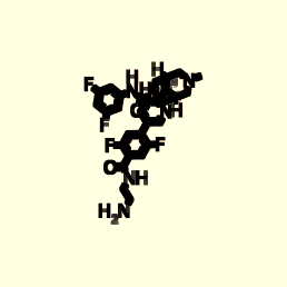 CN1C[C@@H]2CN(C(=O)Nc3cc(F)cc(F)c3)C[C@H](C1)[C@]2(O)c1ccc(-c2cc(F)c(C(=O)NCCN)cc2F)cn1